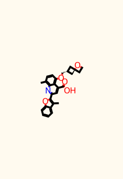 Cc1c(-c2cc(C(=O)O)c3c(OC[C@H]4C[C@@]5(CCO5)C4)ccc(C)c3n2)oc2ccccc12